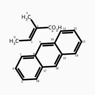 CC=C(C)C(=O)O.c1ccc2cc3ccccc3cc2c1